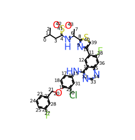 CC(C)CC(NC(C)c1nc(-c2cc3c(Nc4ccc(OCc5cccc(F)c5)c(Cl)c4)ncnc3cc2F)cs1)=S(=O)=O